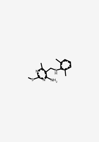 CSc1nc(C)c(CNc2c(C)cccc2C)c(N)n1